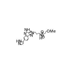 COCCS(=O)(=O)NCCCn1cc2c(N)nc3cc(-c4ccn[nH]4)ccc3c2n1